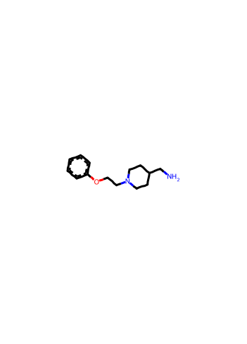 NCC1CCN(CCOc2ccccc2)CC1